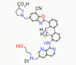 CCN(CCCO)Cc1cnc2c(Nc3cccc(-c4cccc(-c5nc6cc(CN7CC[C@@H](C(=O)O)C7)cc(C#N)c6o5)c4C)c3C)nccc2c1